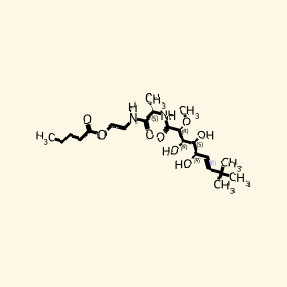 CCCCC(=O)OCCNC(=O)[C@H](C)NC(=O)[C@H](OC)[C@H](O)[C@@H](O)[C@H](O)/C=C/C(C)(C)C